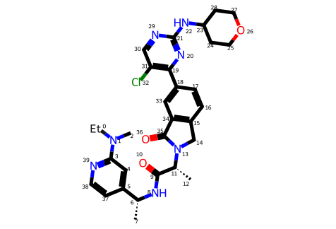 CCN(C)c1cc([C@@H](C)NC(=O)[C@@H](C)N2Cc3ccc(-c4nc(NC5CCOCC5)ncc4Cl)cc3C2=O)ccn1